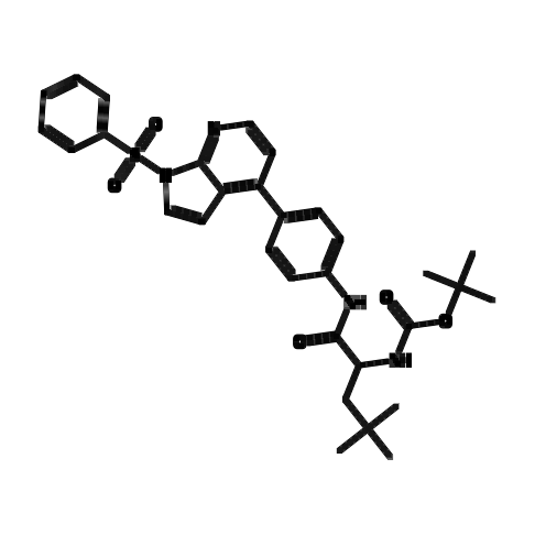 CC(C)(C)CC(NC(=O)OC(C)(C)C)C(=O)Nc1ccc(-c2ccnc3c2ccn3S(=O)(=O)c2ccccc2)cc1